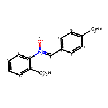 COc1ccc(C=[N+]([O-])c2ccccc2C(=O)O)cc1